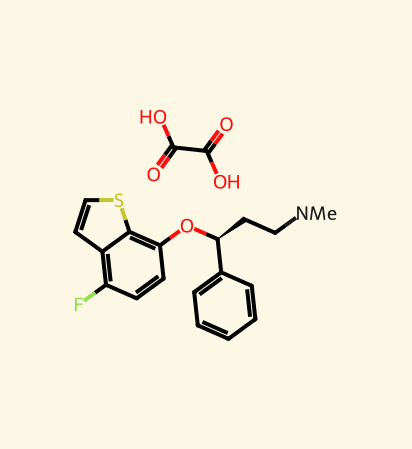 CNCC[C@H](Oc1ccc(F)c2ccsc12)c1ccccc1.O=C(O)C(=O)O